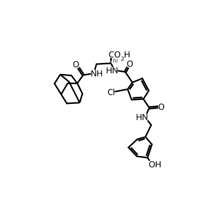 O=C(NCc1cccc(O)c1)c1ccc(C(=O)N[C@@H](CNC(=O)C23CC4CC(CC(C4)C2)C3)C(=O)O)c(Cl)c1